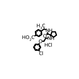 C[C@H](NC(=O)C1(NCCOc2cccc(Cl)c2)CCCC1)c1ccc(C(=O)O)cc1.Cl